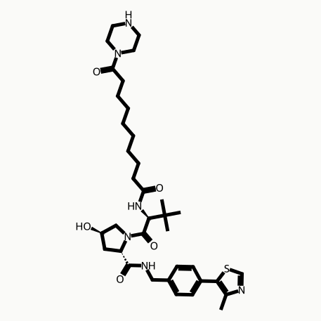 Cc1ncsc1-c1ccc(CNC(=O)[C@@H]2C[C@@H](O)CN2C(=O)[C@@H](NC(=O)CCCCCCCCC(=O)N2CCNCC2)C(C)(C)C)cc1